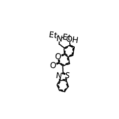 CCN(CC)Cc1c(O)ccc2cc(-c3nc4ccccc4s3)c(=O)oc12